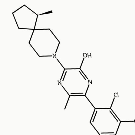 Cc1nc(N2CCC3(CCC[C@H]3C)CC2)c(O)nc1-c1cccc(Cl)c1Cl